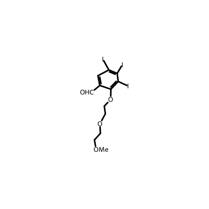 COCCOCCOc1c(C=O)cc(I)c(I)c1I